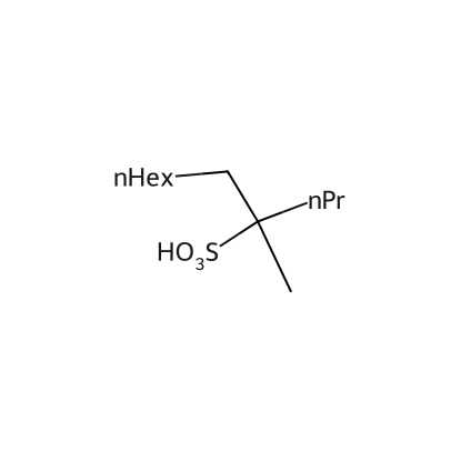 CCCCCCCC(C)(CCC)S(=O)(=O)O